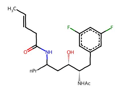 C/C=C/CC(=O)NC(CCC)C[C@H](O)[C@H](Cc1cc(F)cc(F)c1)NC(C)=O